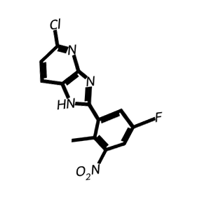 Cc1c(-c2nc3nc(Cl)ccc3[nH]2)cc(F)cc1[N+](=O)[O-]